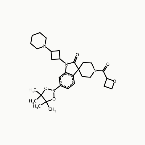 CC1(C)OB(c2ccc3c(c2)N(C2CC(N4CCCCC4)C2)C(=O)C32CCN(C(=O)C3CCO3)CC2)OC1(C)C